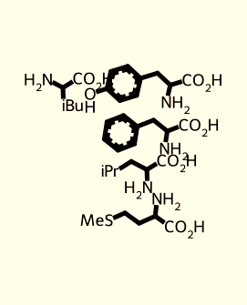 CC(C)CC(N)C(=O)O.CCC(C)C(N)C(=O)O.CSCCC(N)C(=O)O.NC(Cc1ccc(O)cc1)C(=O)O.NC(Cc1ccccc1)C(=O)O